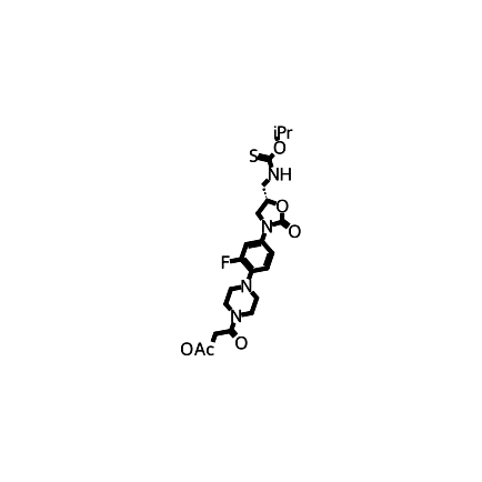 CC(=O)OCC(=O)N1CCN(c2ccc(N3C[C@H](CNC(=S)OC(C)C)OC3=O)cc2F)CC1